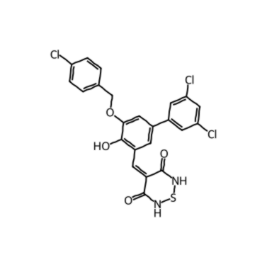 O=C1NSNC(=O)C1=Cc1cc(-c2cc(Cl)cc(Cl)c2)cc(OCc2ccc(Cl)cc2)c1O